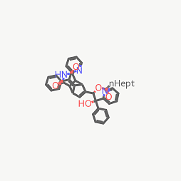 CCCCCCCC(=O)OC(C1=CC2C(=C(c3ccccc3)c3ccccn3)C1C1C(=O)NC(=O)C21)C(O)(c1ccccc1)c1ccccn1